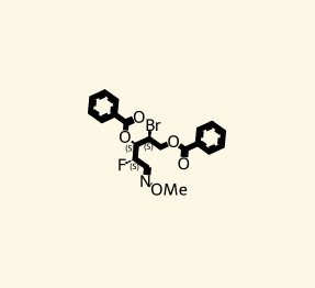 CON=C[C@H](F)[C@H](OC(=O)c1ccccc1)[C@@H](Br)COC(=O)c1ccccc1